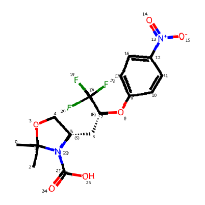 CC1(C)OC[C@H](C[C@@H](Oc2ccc([N+](=O)[O-])cc2)C(F)(F)F)N1C(=O)O